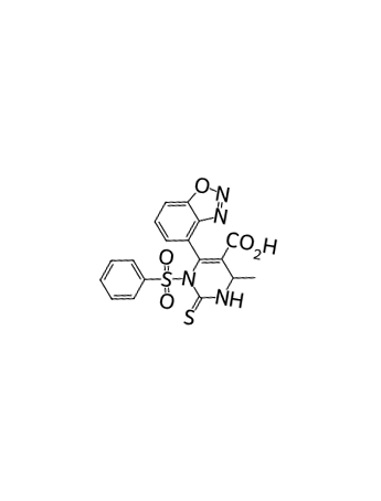 CC1NC(=S)N(S(=O)(=O)c2ccccc2)C(c2cccc3onnc23)=C1C(=O)O